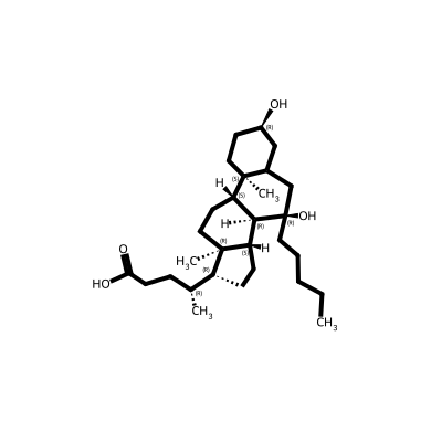 CCCCC[C@@]1(O)CC2C[C@H](O)CC[C@]2(C)[C@H]2CC[C@]3(C)[C@@H]([C@H](C)CCC(=O)O)CC[C@H]3[C@@H]21